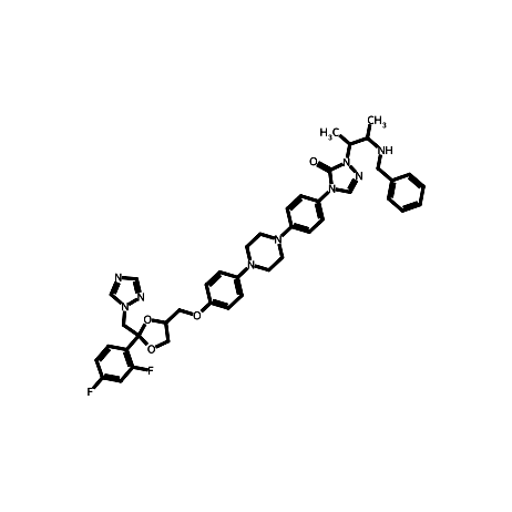 CC(NCc1ccccc1)C(C)n1ncn(-c2ccc(N3CCN(c4ccc(OCC5COC(Cn6cncn6)(c6ccc(F)cc6F)O5)cc4)CC3)cc2)c1=O